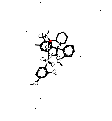 COc1ccc(S(=O)(=O)N2C(=O)C(c3ccccc3OC)(N3CCCCC3C(=O)N(C)C)c3cc(Cl)c(C)cc32)c(OC)c1